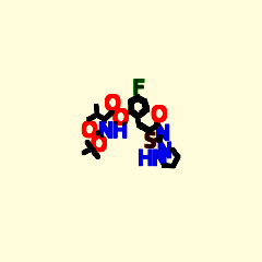 CC(C)[C@H](NC(=O)OC(C)(C)C)C(=O)Oc1cc(F)ccc1C=C1SC(N2CCCCN2)=NC1=O